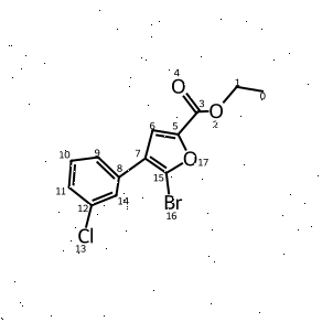 CCOC(=O)c1cc(-c2cccc(Cl)c2)c(Br)o1